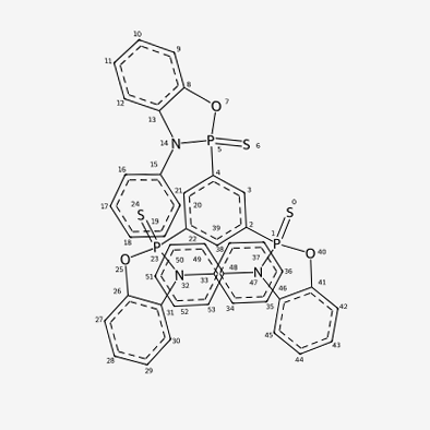 S=P1(c2cc(P3(=S)Oc4ccccc4N3c3ccccc3)cc(P3(=S)Oc4ccccc4N3c3ccccc3)c2)Oc2ccccc2N1c1ccccc1